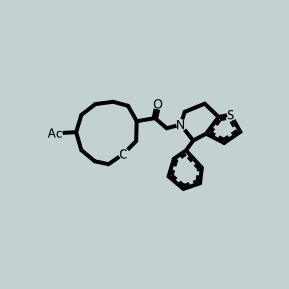 CC(=O)C1CCCCCC(C(=O)CN2CCc3sccc3C2c2ccccc2)CCCC1